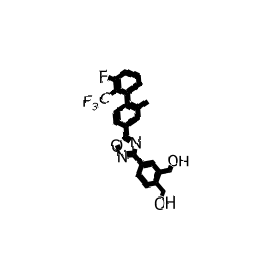 Cc1cc(-c2nc(-c3ccc(CO)c(CO)c3)no2)ccc1-c1cccc(F)c1C(F)(F)F